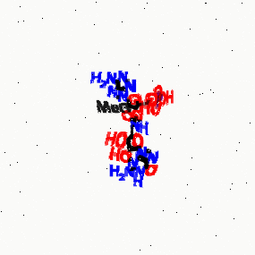 CO[C@@H]1[C@H](OC(=O)NC[C@H]2O[C@@H](n3cnc4c(=O)[nH]c(N)nc43)[C@H](O)[C@@H]2O)[C@@H](COP(=O)(O)O)O[C@H]1n1cnc2c(N)ncnc21